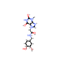 Cn1c(=O)[nH]c(=O)c2c1ncn2CC(=O)NCc1ccc(O)c(Br)c1